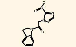 O=C(Cn1ncnc1[N+](=O)[O-])N1CCc2ccccc21